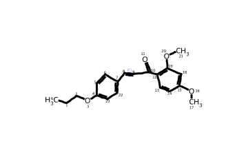 CCCOc1ccc(/C=C/C(=O)c2ccc(OC)cc2OC)cc1